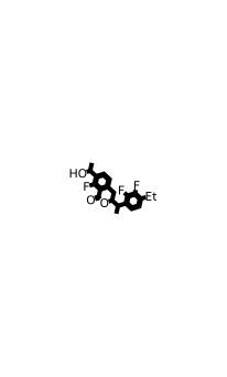 CCc1ccc(C(C)C2Cc3ccc(C(C)O)c(F)c3C(=O)O2)c(F)c1F